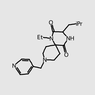 CCN1C(=O)C(CC(C)C)NC(=O)C12CCN(Cc1ccncc1)CC2